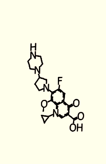 COc1c(N2CCC(N3CCNCC3)C2)c(F)cc2c(=O)c(C(=O)O)cn(C3CC3)c12